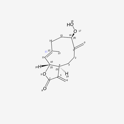 C=C1CC[C@H]2C(=C)C(=O)O[C@@H]2/C=C(\C)CC[C@H]1OO